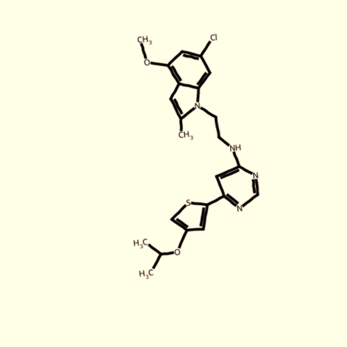 COc1cc(Cl)cc2c1cc(C)n2CCNc1cc(-c2cc(OC(C)C)cs2)ncn1